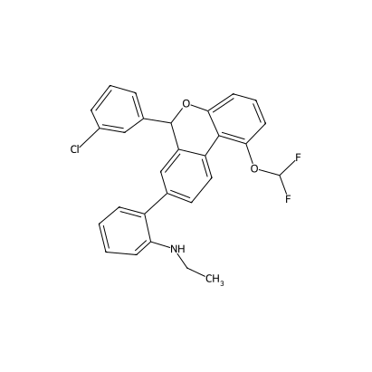 CCNc1ccccc1-c1ccc2c(c1)C(c1cccc(Cl)c1)Oc1cccc(OC(F)F)c1-2